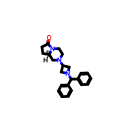 O=C1CC[C@@H]2CN(C3CN(C(c4ccccc4)c4ccccc4)C3)CCN12